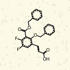 O=C(O)/C=C/c1cc(F)c(F)c(C(=O)OCc2ccccc2)c1OCc1ccccc1